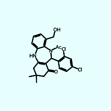 CC(=O)N1c2c(CO)cccc2NC2=C(C(=O)CC(C)(C)C2)C1c1ccc(Cl)cc1Cl